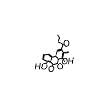 CCCC(=O)C1=CC2c3cccc(O)c3C(=O)C(=O)C2C(O)=C1C